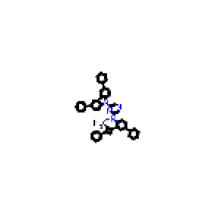 CC1=C(c2cc(-c3ccccc3)ccc2Nc2cncc(-n3c4ccc(-c5ccccc5)cc4c4cc(-c5ccccc5)ccc43)n2)C=C1c1ccccc1